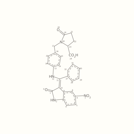 O=C1Nc2ccc([N+](=O)[O-])cc2C1=C(Nc1ccc(CN2C(=O)CCC2C(=O)O)cc1)c1ccccc1